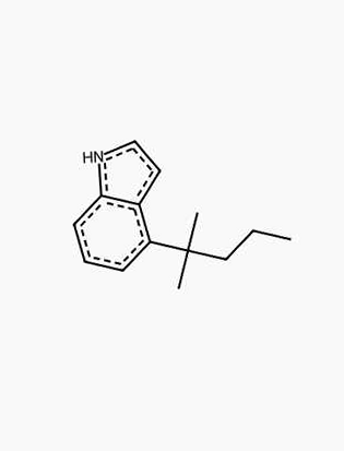 CCCC(C)(C)c1cccc2[nH]ccc12